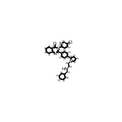 O=c1c2ccccc2nc(-c2ccc(-c3cccn3CCNCc3ccccc3)cc2)n1-c1ccc(Cl)cn1